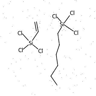 C=C[Si](Cl)(Cl)Cl.CCCCCC[Si](Cl)(Cl)Cl